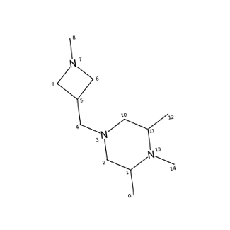 CC1CN(CC2CN(C)C2)CC(C)N1C